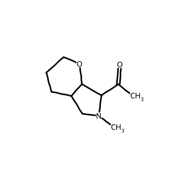 CC(=O)C1C2OCCCC2CN1C